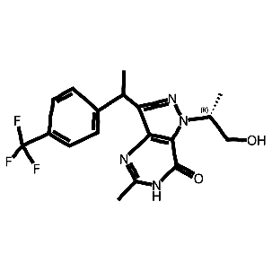 Cc1nc2c(C(C)c3ccc(C(F)(F)F)cc3)nn([C@H](C)CO)c2c(=O)[nH]1